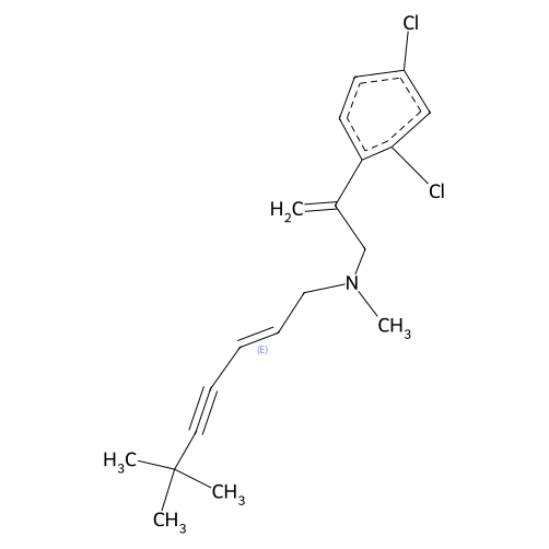 C=C(CN(C)C/C=C/C#CC(C)(C)C)c1ccc(Cl)cc1Cl